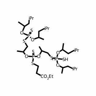 CCOC(=O)CCSP(=S)(OC(C)CSP(=S)(OC(C)CC(C)C)OC(C)CC(C)C)OC(C)CS[PH](S)(OC(C)CC(C)C)OC(C)CC(C)C